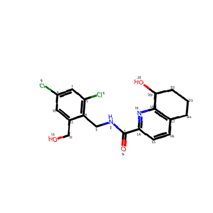 O=C(NCc1c(Cl)cc(Cl)cc1CO)c1ccc2c(n1)C(O)CCC2